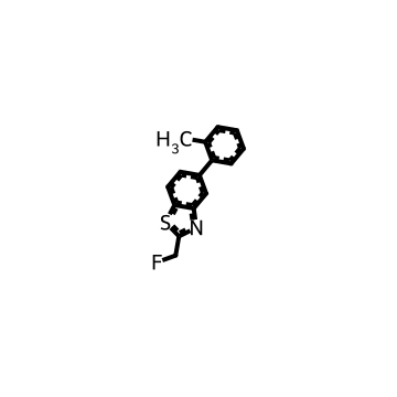 Cc1ccccc1-c1ccc2sc(CF)nc2c1